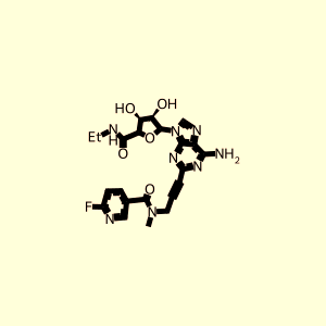 CCNC(=O)C1OC(n2cnc3c(N)nc(C#CCN(C)C(=O)c4ccc(F)nc4)nc32)[C@H](O)[C@@H]1O